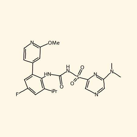 COc1cc(-c2cc(F)cc(C(C)C)c2NC(=O)NS(=O)(=O)c2cncc(N(C)C)n2)ccn1